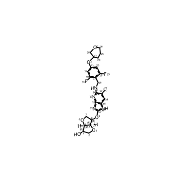 O[C@@H]1CO[C@H]2[C@@H]1OC[C@H]2Oc1nc2nc(NCc3c(F)cc(OC4CCCOC4)cc3F)c(Cl)cc2[nH]1